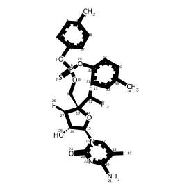 Cc1ccc(OP(=S)(OC[C@@]2(C(F)F)O[C@@H](n3cc(F)c(N)nc3=O)[C@H](O)[C@H]2F)Oc2ccc(C)cc2)cc1